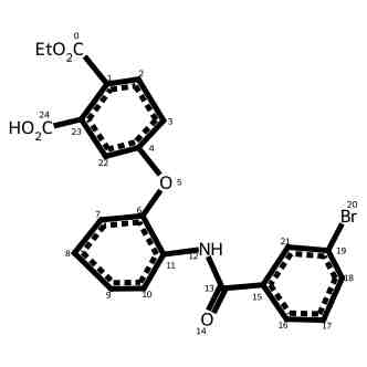 CCOC(=O)c1ccc(Oc2ccccc2NC(=O)c2cccc(Br)c2)cc1C(=O)O